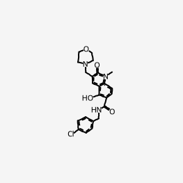 Cn1c(=O)c(CN2CCOCC2)cc2c(O)c(C(=O)NCc3ccc(Cl)cc3)ccc21